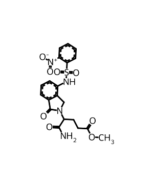 COC(=O)CCC(C(N)=O)N1Cc2c(NS(=O)(=O)c3ccccc3[N+](=O)[O-])cccc2C1=O